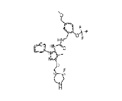 COCc1ccc(OC(F)(F)F)c(CNC(=O)Nc2c(C)c(OC[C@@H]3CCNC[C@H]3F)nn2-c2ccccc2)c1